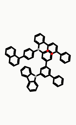 c1ccc(-c2ccc(-c3ccccc3N(c3ccc(-c4cccc5ccccc45)cc3)c3cccc(-c4cc(-c5ccccc5)cc(-n5c6ccccc6c6ccccc65)c4)c3)cc2)cc1